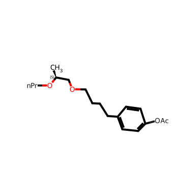 CCCO[C@@H](C)COCCCCc1ccc(OC(C)=O)cc1